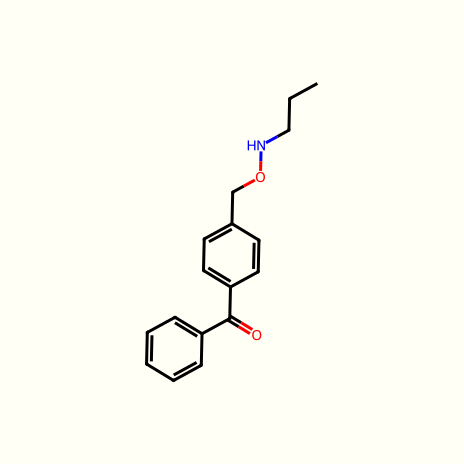 CCCNOCc1ccc(C(=O)c2ccccc2)cc1